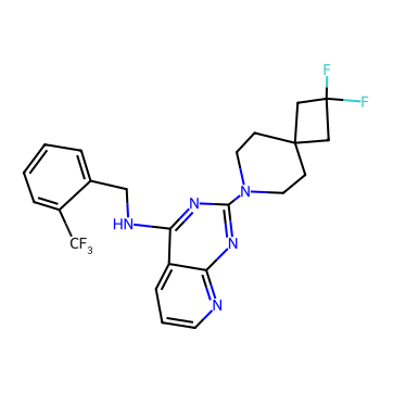 FC1(F)CC2(CCN(c3nc(NCc4ccccc4C(F)(F)F)c4cccnc4n3)CC2)C1